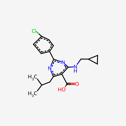 CC(C)Cc1nc(-c2ccc(Cl)cc2)nc(NCC2CC2)c1C(=O)O